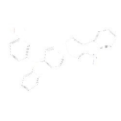 O.c1ccc(P(c2ccccc2)c2ccccc2)cc1.c1ccc2c(c1)[nH]c1ccccc12